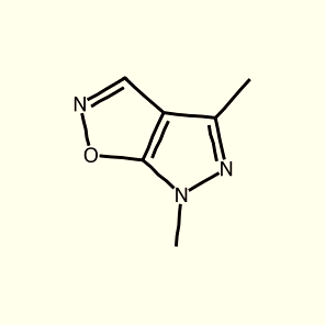 Cc1nn(C)c2oncc12